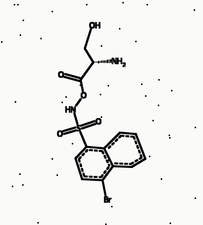 N[C@@H](CO)C(=O)ONS(=O)(=O)c1ccc(Br)c2ccccc12